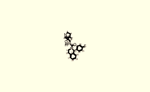 O=C(NCC1(O)CN2CCC1(F)C2)N1CCc2ccccc2[C@@H]1c1ccc(F)cc1